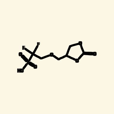 O=C1OCC(COCC(F)(F)S(=O)(=O)O)O1